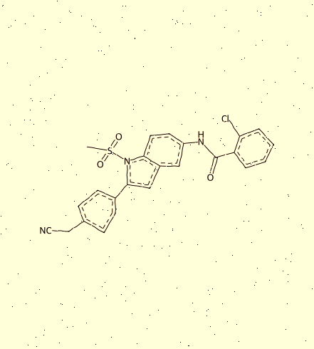 CS(=O)(=O)n1c(-c2ccc(CC#N)cc2)cc2cc(NC(=O)c3ccccc3Cl)ccc21